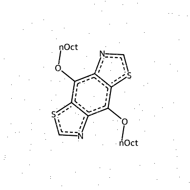 CCCCCCCCOc1c2ncsc2c(OCCCCCCCC)c2ncsc12